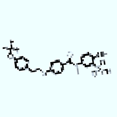 CS(=O)(=O)c1cc(NC(=O)c2ccc(SCCc3ccc(OC(F)(F)F)cc3)cc2)ccc1O